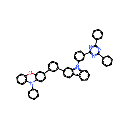 c1ccc(-c2nc(-c3ccccc3)nc(-c3cccc(-n4c5ccccc5c5ccc(-c6cccc(-c7ccc8c(c7)Oc7ccccc7N8c7ccccc7)c6)cc54)c3)n2)cc1